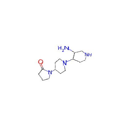 NC1CNCCC1N1CCC(N2CCCC2=O)CC1